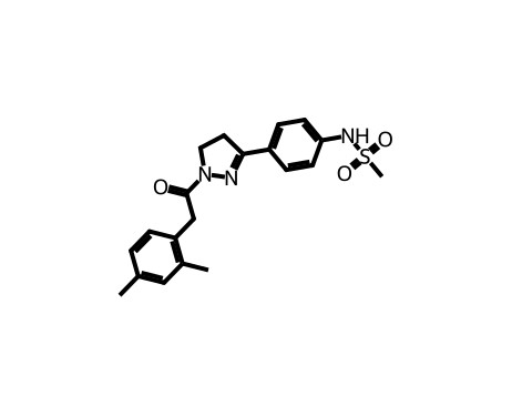 Cc1ccc(CC(=O)N2CCC(c3ccc(NS(C)(=O)=O)cc3)=N2)c(C)c1